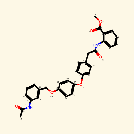 COC(=O)c1ccccc1NC(=O)Cc1ccc(Oc2ccc(OCc3cccc(NC(C)=O)c3)cc2)cc1